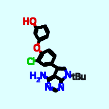 CC(C)(C)n1cc(-c2ccc(Oc3cccc(O)c3)c(Cl)c2)c2c(N)ncnc21